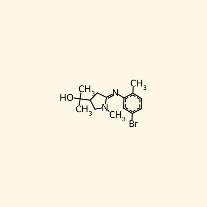 Cc1ccc(Br)cc1/N=C1/CC(C(C)(C)O)CN1C